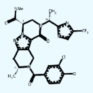 CNC(=O)[C@@H]1CN([C@H](C)c2nc(C(F)(F)F)cs2)C(=O)c2c3c(nn21)C[C@@H](C)N(C(=O)c1ccc(Cl)c(Cl)c1)C3